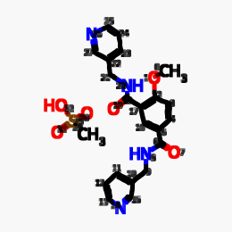 COc1ccc(C(=O)NCc2cccnc2)cc1C(=O)NCc1cccnc1.CS(=O)(=O)O